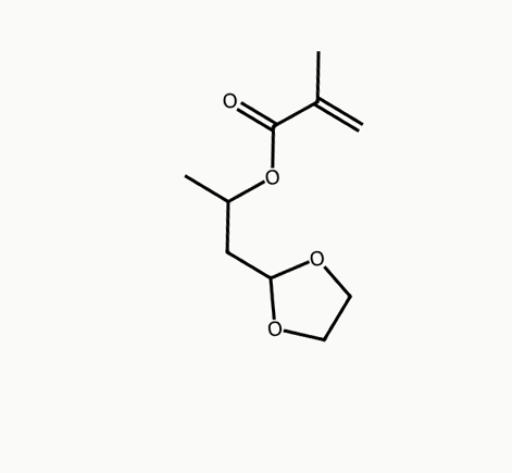 C=C(C)C(=O)OC(C)CC1OCCO1